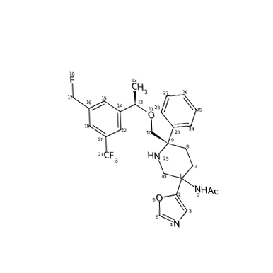 CC(=O)NC1(c2cnco2)CC[C@@](CO[C@H](C)c2cc(CF)cc(C(F)(F)F)c2)(c2ccccc2)NC1